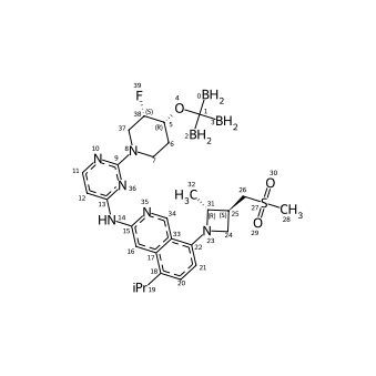 BC(B)(B)O[C@@H]1CCN(c2nccc(Nc3cc4c(C(C)C)ccc(N5C[C@H](CS(C)(=O)=O)[C@H]5C)c4cn3)n2)C[C@@H]1F